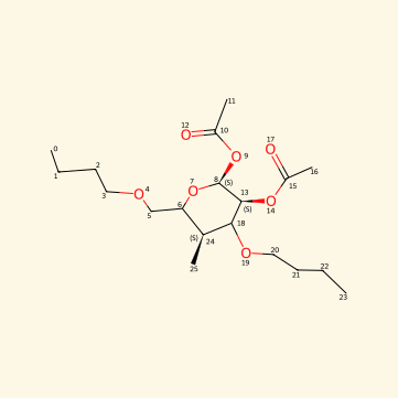 CCCCOCC1O[C@@H](OC(C)=O)[C@@H](OC(C)=O)C(OCCCC)[C@H]1C